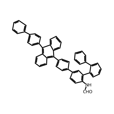 O=CNc1ccc(-c2ccc(-c3c4ccccc4c(-c4ccc(-c5ccccc5)cc4)c4ccccc34)cc2)cc1-c1ccccc1-c1ccccc1